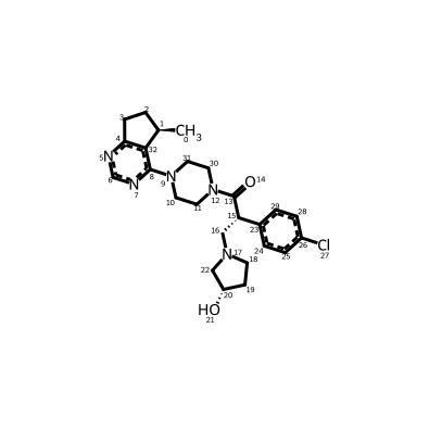 C[C@@H]1CCc2ncnc(N3CCN(C(=O)[C@@H](CN4CC[C@H](O)C4)c4ccc(Cl)cc4)CC3)c21